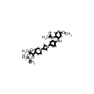 COc1cc(Nc2ccc(N3CC(N4CCC(C(O[SiH](C)C)C(C)(C)C)CC4)C3)cc2)c(NC(C)=O)cn1